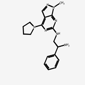 Cn1ncc2c(N3CCCC3)nc(NCC(N)c3ccccc3)nc21